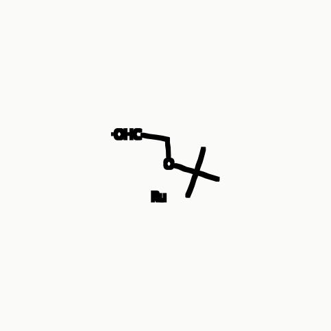 CC(C)(C)OC[C]=O.[Ru]